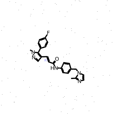 Cc1nccn1Cc1ccc(NC(=O)/C=C/c2cnn(C)c2-c2ccc(F)cc2)cc1